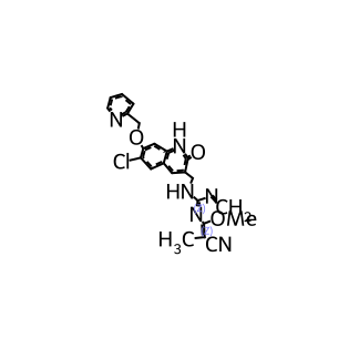 C=N/C(=N\C(OC)=C(/C)C#N)NCc1cc2cc(Cl)c(OCc3ccccn3)cc2[nH]c1=O